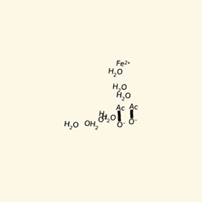 CC(=O)[O-].CC(=O)[O-].O.O.O.O.O.O.O.[Fe+2]